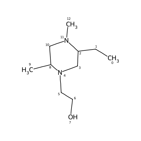 CCC1CN(CCO)C(C)CN1C